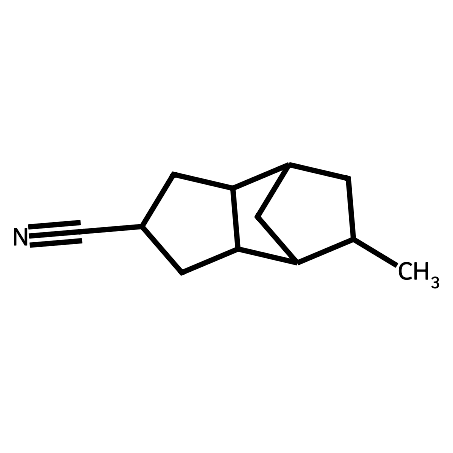 CC1CC2CC1C1CC(C#N)CC21